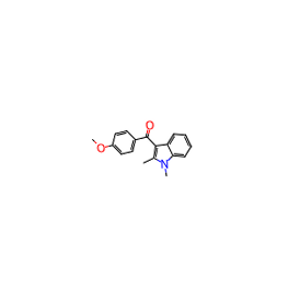 COc1ccc(C(=O)c2c(C)n(C)c3ccccc23)cc1